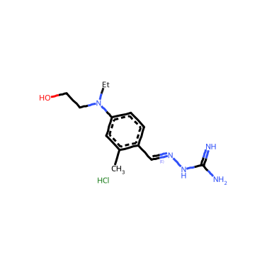 CCN(CCO)c1ccc(/C=N/NC(=N)N)c(C)c1.Cl